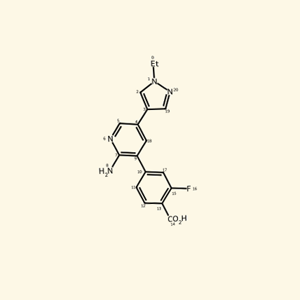 CCn1cc(-c2cnc(N)c(-c3ccc(C(=O)O)c(F)c3)c2)cn1